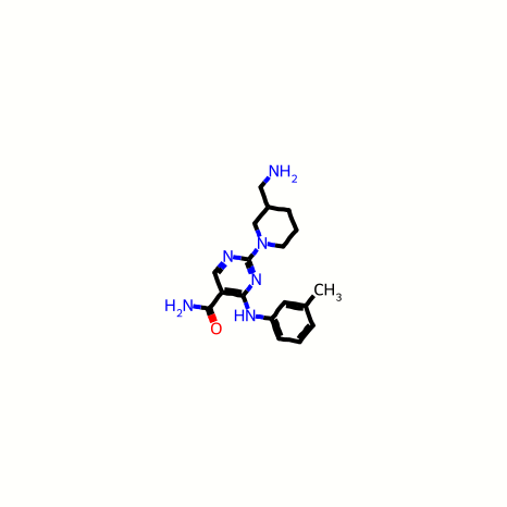 Cc1cccc(Nc2nc(N3CCCC(CN)C3)ncc2C(N)=O)c1